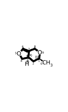 C[C@H]1C[C@H]2COC=C2CO1